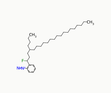 CCCCCCCCCCCCCCCCCC(CCCC)CCC(F)c1ccccc1[N+]#N